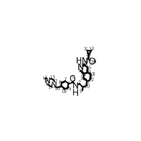 CC(CNC(=O)c1ccc(CN2CCN(C)CC2)cc1)Cc1ccc2cc(NC(=O)C3CC3)ncc2c1